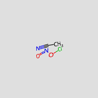 CC#N.O=NOCl